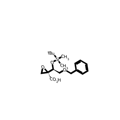 CC(C)(C)[Si](C)(C)O[C@@H](COCc1ccccc1)[C@@]1(C(=O)O)CO1